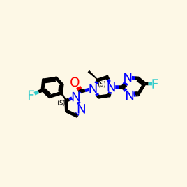 C[C@H]1CN(c2ncc(F)cn2)CCN1C(=O)N1N=CC[C@H]1c1cccc(F)c1